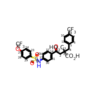 O=C(CC(Cc1ccc(C(F)(F)F)cc1)(C(=O)O)C(=O)O)c1ccc(NS(=O)(=O)c2ccc(OC(F)(F)F)cc2)cc1